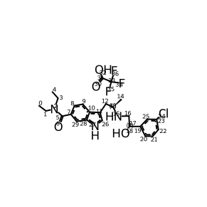 CCN(CC)C(=O)c1ccc2c(C[C@@H](C)NC[C@H](O)c3cccc(Cl)c3)c[nH]c2c1.O=C(O)C(F)(F)F